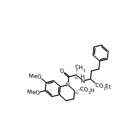 CCOC(=O)C(CCc1ccccc1)N[C@@H](C)C(=O)N1c2cc(OC)c(OC)cc2CC[C@H]1C(=O)O